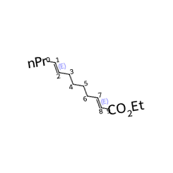 CCC/C=C/CCCC/C=C/C(=O)OCC